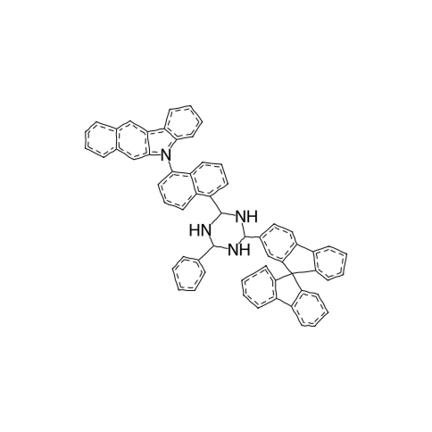 c1ccc(C2NC(c3ccc4c(c3)C3(c5ccccc5-c5ccccc53)c3ccccc3-4)NC(c3cccc4c(-n5c6ccccc6c6cc7ccccc7cc65)cccc34)N2)cc1